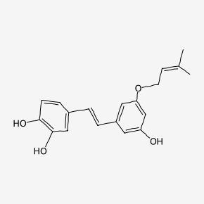 CC(C)=CCOc1cc(O)cc(C=Cc2ccc(O)c(O)c2)c1